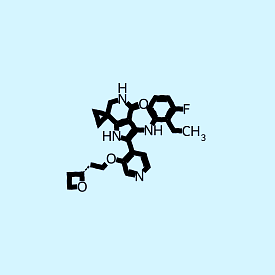 CCc1c(F)cccc1Nc1c(-c2ccncc2OCC[C@H]2CCO2)[nH]c2c1C(=O)NCC21CC1